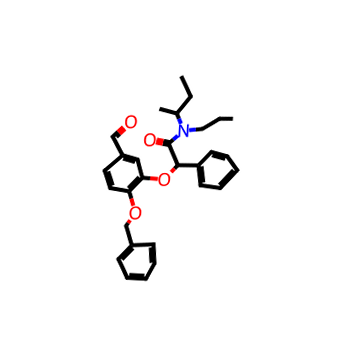 CCCN(C(=O)C(Oc1cc(C=O)ccc1OCc1ccccc1)c1ccccc1)C(C)CC